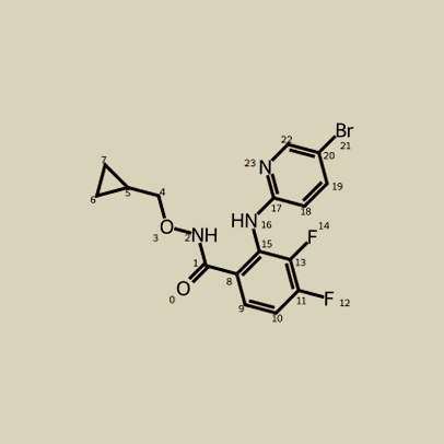 O=C(NOCC1CC1)c1ccc(F)c(F)c1Nc1ccc(Br)cn1